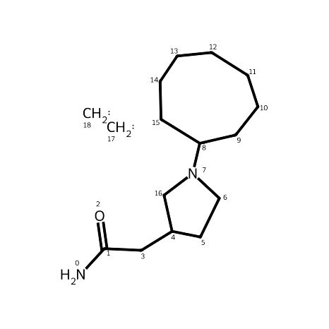 NC(=O)CC1CCN([C]2CCCCCCC2)C1.[CH2].[CH2]